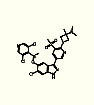 C[C@@H](Oc1cc2c(-c3cnc(N4CC(C)(N(C)C)C4)c(S(C)(=O)=O)c3)n[nH]c2cc1Cl)c1c(Cl)cncc1Cl